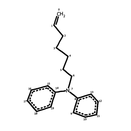 C=CCCCCCN(c1ccccc1)c1ccccc1